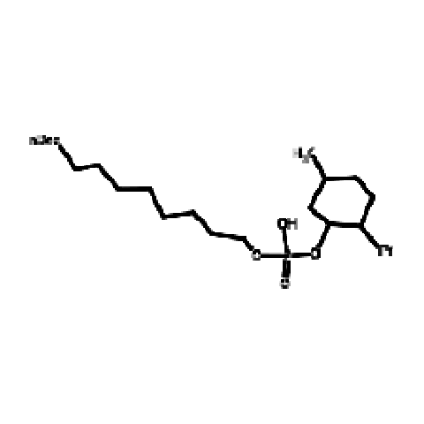 CCCCCCCCCCCCCCCCCCOP(=O)(O)OC1CC(C)CCC1C(C)C